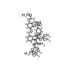 COC(=O)CC(NS(=O)(=O)c1ccccc1)c1cccc(OCc2cccc(N(C(=O)OC(C)(C)C)C(N)=NC(=O)OC(C)(C)C)c2)c1